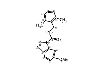 COc1ccc2nnn(C(=O)NCc3c(C)cccc3C)c2c1